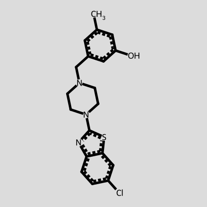 Cc1cc(O)cc(CN2CCN(c3nc4ccc(Cl)cc4s3)CC2)c1